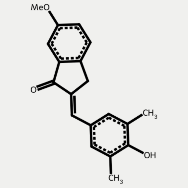 COc1ccc2c(c1)C(=O)C(=Cc1cc(C)c(O)c(C)c1)C2